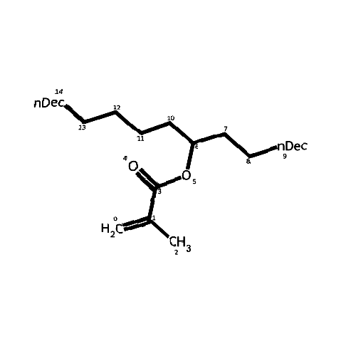 C=C(C)C(=O)OC(CCCCCCCCCCCC)CCCCCCCCCCCCCC